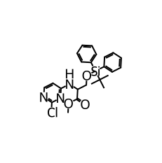 COC(=O)C(CO[Si](c1ccccc1)(c1ccccc1)C(C)(C)C)Nc1ccnc(Cl)n1